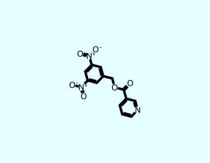 O=C(OCc1cc([N+](=O)[O-])cc([N+](=O)[O-])c1)c1cccnc1